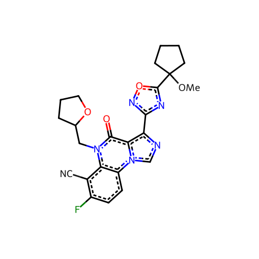 COC1(c2nc(-c3ncn4c3c(=O)n(CC3CCCO3)c3c(C#N)c(F)ccc34)no2)CCCC1